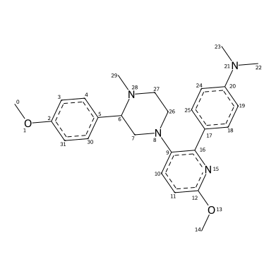 COc1ccc(C2CN(c3ccc(OC)nc3-c3ccc(N(C)C)cc3)CCN2C)cc1